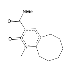 CNC(=O)c1cc2c(n(C)c1=O)CCCCCC2